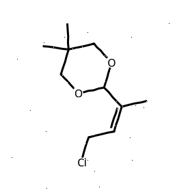 C/C(=C/CCl)C1OCC(C)(C)CO1